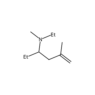 C=C(C)CC(CC)N(C)CC